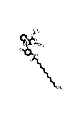 CCCCCCCCCCCCCC(=O)Nc1ccc(Cl)c(NC(OCC)=C(C(=O)OCC)n2ccccc2=O)c1